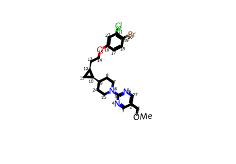 COCc1cnc(N2CCC([C@H]3C[C@H]3CCOc3ccc(Br)c(Cl)c3)CC2)nc1